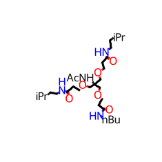 CCCCNC(=O)CCOCC(COCCC(=O)NCCC(C)C)(COCCC(=O)NCCC(C)C)NC(C)=O